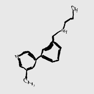 Cc1cncc(-c2cccc(CNCCO)c2)c1